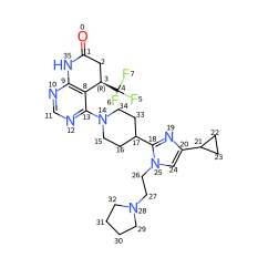 O=C1C[C@@H](C(F)(F)F)c2c(ncnc2N2CCC(c3nc(C4CC4)cn3CCN3CCCC3)CC2)N1